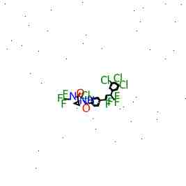 CN(CC(F)(F)F)C(=O)C1(NC(=O)c2ccc(/C(F)=C/C(c3cc(Cl)c(Cl)c(Cl)c3)C(F)(F)F)cc2Cl)CC1